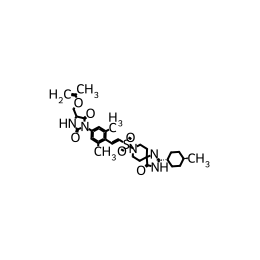 C=C(C)OCC1NC(=O)N(c2cc(C)c(/C=C/S(=O)(=O)N3CCC4(CC3)N=C([C@H]3CC[C@H](C)CC3)NC4=O)c(C)c2)C1=O